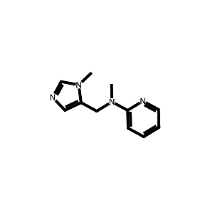 CN(Cc1cncn1C)c1ccccn1